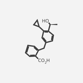 C[C@H](O)c1ccc(Cc2ccccc2C(=O)O)cc1C1CC1